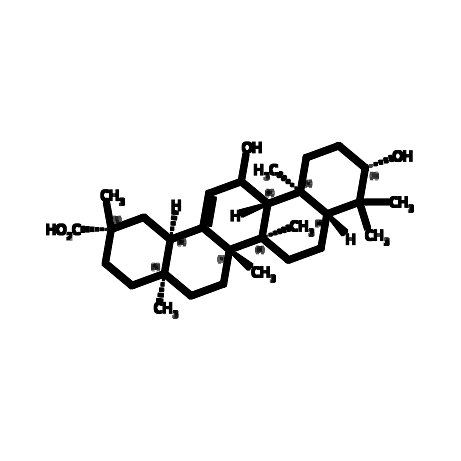 CC1(C)[C@@H](O)CC[C@]2(C)[C@H]3C(O)C=C4[C@@H]5C[C@@](C)(C(=O)O)CC[C@]5(C)CC[C@@]4(C)[C@]3(C)CC[C@@H]12